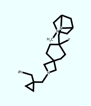 CC(C)CC1(CN2CC3(CCC(F)(CN4C5CC4CN(C)C5)CC3)C2)CC1